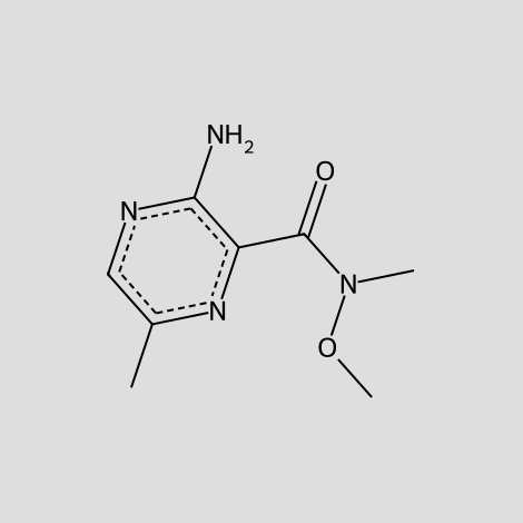 CON(C)C(=O)c1nc(C)cnc1N